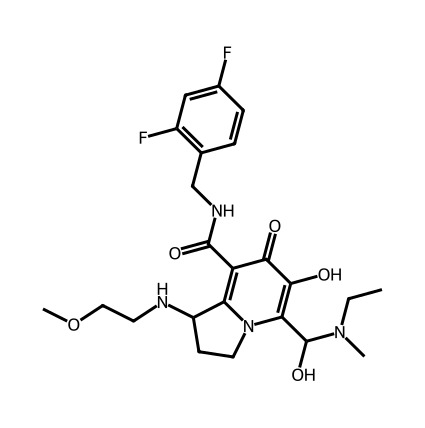 CCN(C)C(O)c1c(O)c(=O)c(C(=O)NCc2ccc(F)cc2F)c2n1CCC2NCCOC